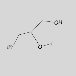 CC(C)CC(CO)OI